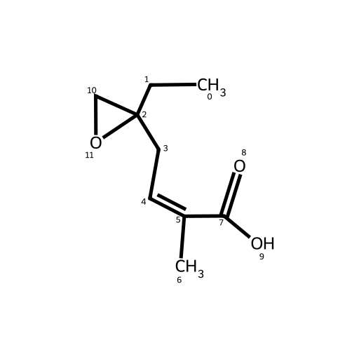 CCC1(CC=C(C)C(=O)O)CO1